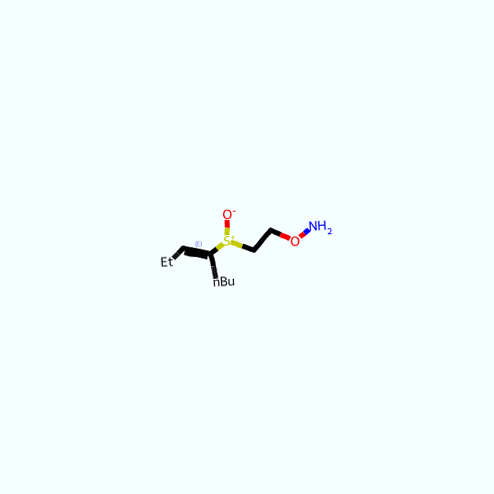 CC/C=C(\CCCC)[S+]([O-])CCON